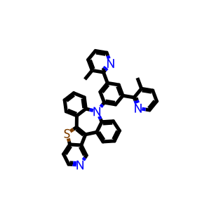 Cc1cccnc1-c1cc(-c2ncccc2C)cc(N2c3ccccc3-c3sc4ccncc4c3-c3ccccc32)c1